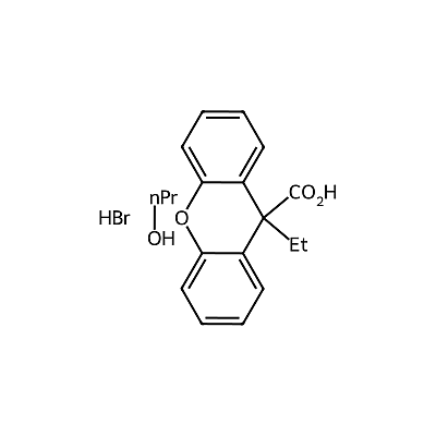 Br.CCC1(C(=O)O)c2ccccc2Oc2ccccc21.CCCO